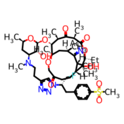 CC[C@H]1OC(=O)[C@H](C)C(=O)[C@H](C)[C@@H](O[C@@H]2O[C@H](C)C[C@H](N(C)CCc3cn([C@H](CF)Cc4ccc(S(C)(=O)=O)cc4)nn3)[C@H]2O)[C@@]2(C)C[C@@H](C)/C(=N\C(C)=O)[C@H](C)[C@@H](CCC(=O)CO2)[C@]1(C)O